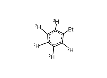 [2H]c1c([2H])c([2H])c(CC)c([2H])c1[2H]